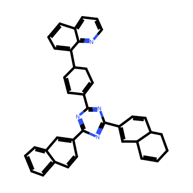 C1=CC2C=C(c3nc(C4=CCC(c5cccc6cccnc56)C=C4)nc(-c4ccc5ccccc5c4)n3)C=CC2CC1